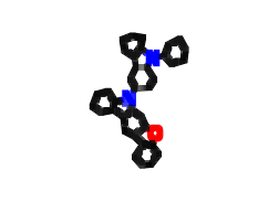 C1=CC2C(C=C1n1c3ccccc3c3cc4c(cc31)oc1ccccc14)c1ccccc1N2c1ccccc1